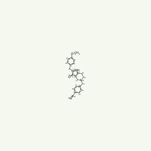 COc1ccc(Cn2[nH]c3c(c2=O)CN(Cc2ccc(C#N)cc2)CC3)cc1